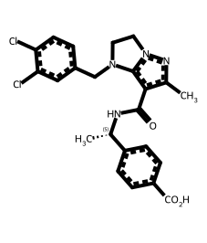 Cc1nn2c(c1C(=O)N[C@@H](C)c1ccc(C(=O)O)cc1)N(Cc1ccc(Cl)c(Cl)c1)CC2